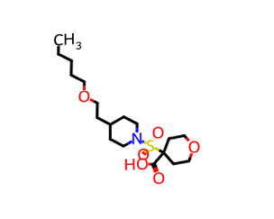 CCCCCOCCC1CCN(S(=O)(=O)C2(C(=O)O)CCOCC2)CC1